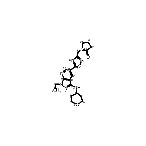 CCn1nc(NC2CCOCC2)c2cc(-c3nc(CN4CCCC4=O)no3)cnc21